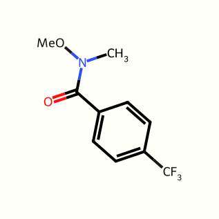 CON(C)C(=O)c1ccc(C(F)(F)F)cc1